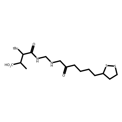 CC(C(=O)O)C(C(=O)NCNCC(=O)CCCCC1CCSS1)C(C)(C)C